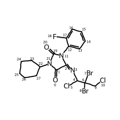 O=C1C(=NC(Cl)C(Br)(Br)CCl)N(c2ccccc2F)C(=O)N1C1CCCCC1